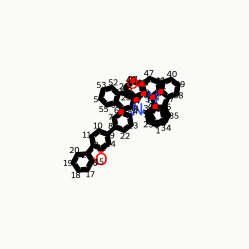 c1ccc(N(c2ccc(-c3ccc4c(c3)oc3ccccc34)cc2)c2ccccc2-n2c3ccccc3c3ccccc32)c(-c2cccc3oc4c5ccccc5ccc4c23)c1